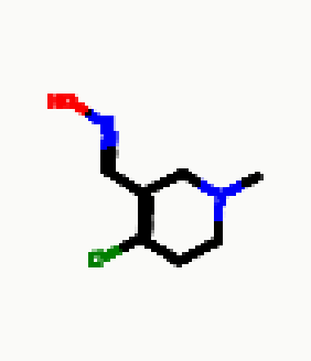 CN1CCC(Cl)=C(C=NO)C1